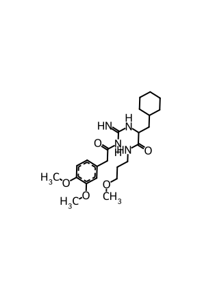 COCCCNC(=O)C(CC1CCCCC1)NC(=N)NC(=O)Cc1ccc(OC)c(OC)c1